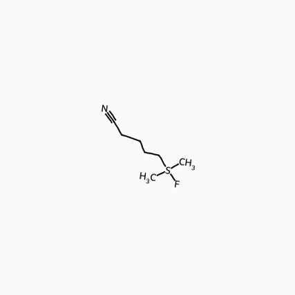 CS(C)(F)CCCCC#N